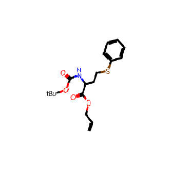 C=CCOC(=O)C(CCSc1ccccc1)NC(=O)OC(C)(C)C